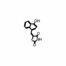 O=C1NC(=O)C(=Cc2ccc(O)c3ccccc23)S1